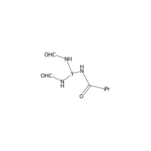 CC(C)C(=O)[NH][Y]([NH]C=O)[NH]C=O